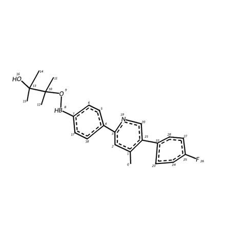 Cc1cc(-c2ccc(BOC(C)(C)C(C)(C)O)cc2)ncc1-c1ccc(F)cc1